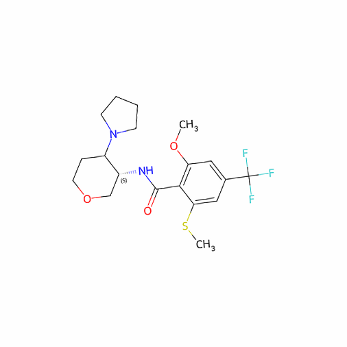 COc1cc(C(F)(F)F)cc(SC)c1C(=O)N[C@@H]1COCCC1N1CCCC1